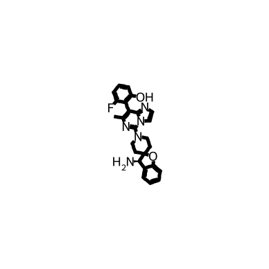 Cc1nc(N2CCC3(CC2)Oc2ccccc2[C@H]3N)n2ccnc2c1-c1c(O)cccc1F